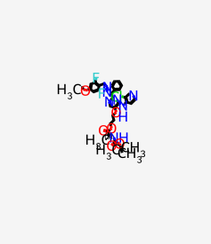 CCOc1cc(F)c(Cn2nc(-c3ncc(OCCCOC(=O)[C@H](C)NC(=O)OC(C)(C)C)c(Nc4ccncc4Cl)n3)c3ccccc32)c(F)c1